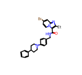 CCc1nc2cc(Br)ccn2c1C(=O)NCc1ccc(N2CCC(c3ccccc3)CC2)cc1